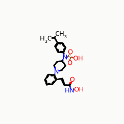 CC(C)c1ccc(N(C2CCN(c3ccccc3/C=C/C(=O)NO)CC2)S(=O)(=O)O)cc1